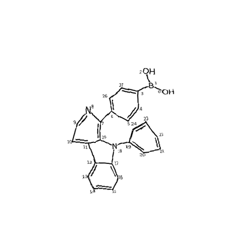 OB(O)c1ccc(-c2nccc3c4ccccc4n(-c4ccccc4)c23)cc1